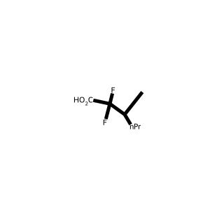 CCCC(C)C(F)(F)C(=O)O